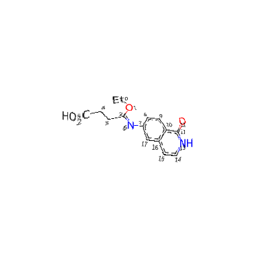 CCOC(CCC(=O)O)=Nc1ccc2c(=O)[nH]ccc2c1